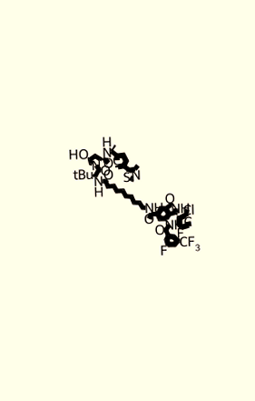 Cc1ncsc1-c1ccc([C@H](C)NC(=O)[C@@H]2C[C@@H](O)CN2C(=O)[C@@H](NC(=O)CCCCCCCCCNC(=O)c2cc(NC(=O)c3cc(F)cc(C(F)(F)F)c3)c3c(c2)C(=O)N[C@@H]3c2cc(F)ccc2Cl)C(C)(C)C)cc1